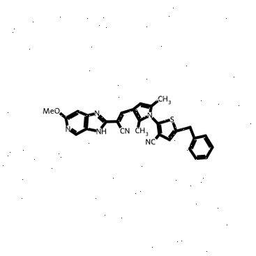 COc1cc2nc(C(C#N)=Cc3cc(C)n(-c4sc(Cc5ccccc5)cc4C#N)c3C)[nH]c2cn1